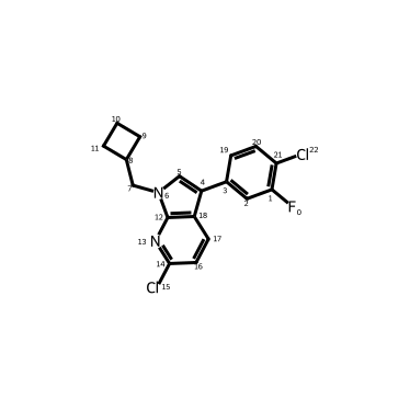 Fc1cc(-c2cn(CC3CCC3)c3nc(Cl)ccc23)ccc1Cl